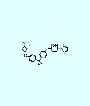 N[C@H]1C[C@H](Oc2ccc(C3(c4ccc(Oc5ccc(-n6nccn6)nn5)cc4)CC3)cc2)C1